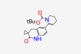 CC(C)(C)OC(=O)N1CCCC=C1c1ccc2c(c1)CC1(CC1)C(=O)N2